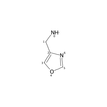 [NH]Cc1cocn1